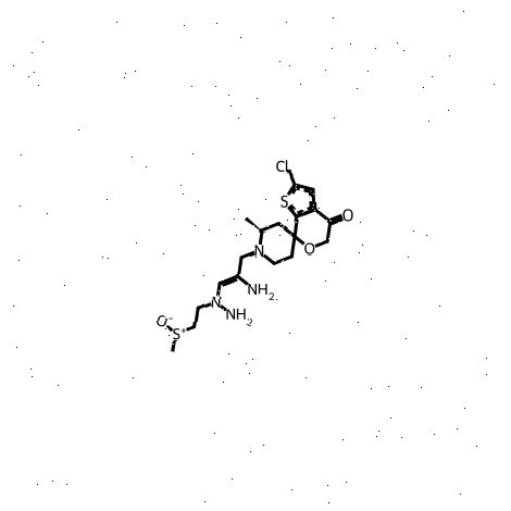 C[C@H]1CC2(CCN1C/C(N)=C/N(N)CC[S+](C)[O-])OCC(=O)c1cc(Cl)sc12